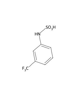 O=S(=O)(O)Nc1cccc(C(F)(F)F)c1